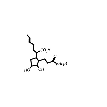 CC=CCCC(C(=O)O)C1CC(O)C(O)C1CCC(=O)CCCCCCC